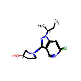 CC[C@H](C)n1nc(N2CC[C@@H](O)C2)c2cnc(Cl)cc21